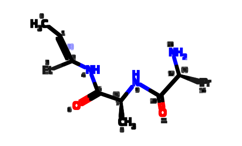 C/C=C(\CC)NC(=O)[C@H](C)NC(=O)[C@@H](N)C(C)C